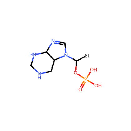 CCC(OP(=O)(O)O)N1C=NC2NCNCC21